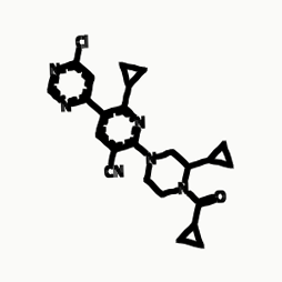 N#Cc1cc(-c2cc(Cl)ncn2)c(C2CC2)nc1N1CCN(C(=O)C2CC2)C(C2CC2)C1